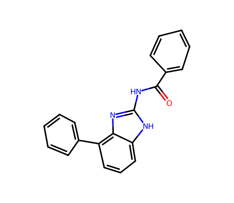 O=C(Nc1nc2c(-c3ccccc3)cccc2[nH]1)c1ccccc1